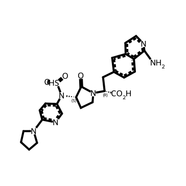 Nc1nccc2cc(C[C@H](C(=O)O)N3CC[C@H](N(c4ccc(N5CCCC5)nc4)[SH](=O)=O)C3=O)ccc12